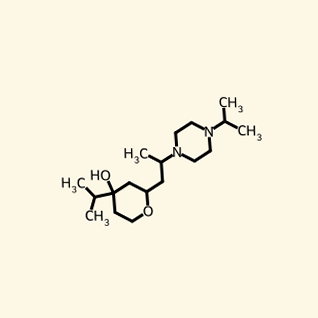 CC(C)N1CCN(C(C)CC2CC(O)(C(C)C)CCO2)CC1